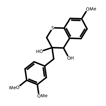 COc1ccc2c(c1)SCC(O)(Cc1ccc(OC)c(OC)c1)C2O